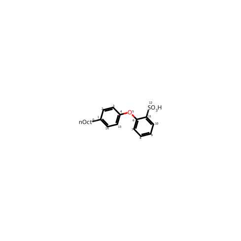 CCCCCCCCc1ccc(Oc2ccccc2S(=O)(=O)O)cc1